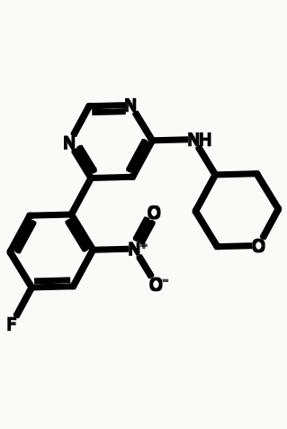 O=[N+]([O-])c1cc(F)ccc1-c1cc(NC2CCOCC2)ncn1